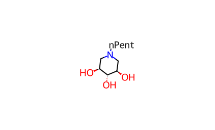 CCCCCN1C[C@@H](O)[C@H](O)[C@@H](O)C1